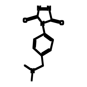 CN(C)Cc1ccc(N2C(=O)N=NC2=O)cc1